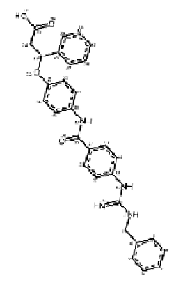 N=C(NCc1ccccc1)Nc1ccc(C(=O)Nc2ccc(OC(CC(=O)O)c3cccnc3)cc2)cc1